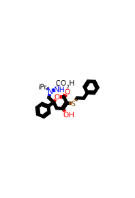 CC(C)N(CC1(c2ccccc2)CC(O)=C(SCCc2ccccc2)C(=O)O1)NC(=O)O